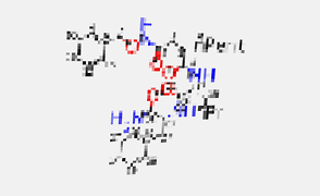 CCCCC[C@@H](CC(=O)NOCc1ccccc1)C(=O)N[C@H](CC(C)C)C(=O)N[C@@H](Cc1ccccc1)C(N)=O